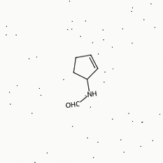 O=CNC1C=CCC1